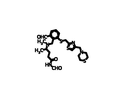 CC(CCC(=O)NC=O)N(C)Cc1c(C=O)cccc1SCc1nc(CN2CCSCC2)cs1